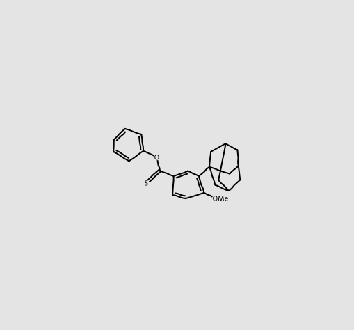 COc1ccc(C(=S)Oc2ccccc2)cc1C12CC3CC(CC(C3)C1)C2